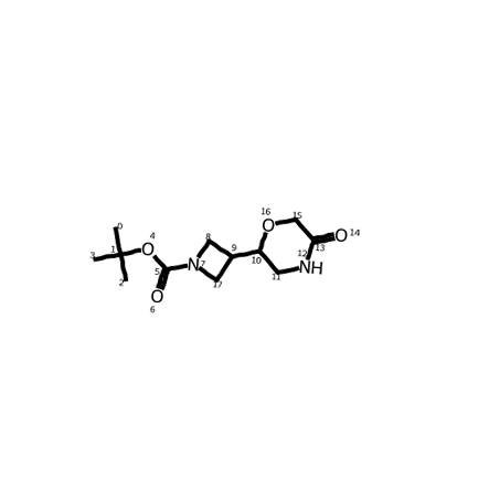 CC(C)(C)OC(=O)N1CC(C2CNC(=O)CO2)C1